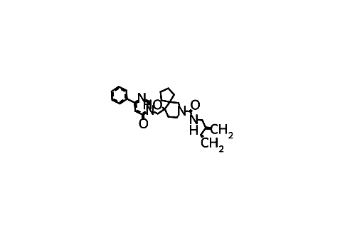 C=CC(=C)CNC(=O)N1CCC(O)(Cn2cnc(-c3ccccc3)cc2=O)C2(CCCC2)C1